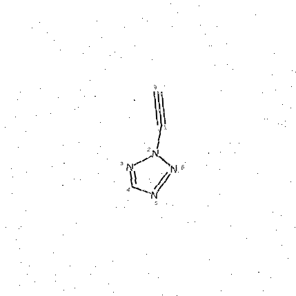 C#Cn1ncnn1